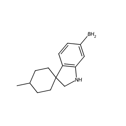 Bc1ccc2c(c1)NCC21CCC(C)CC1